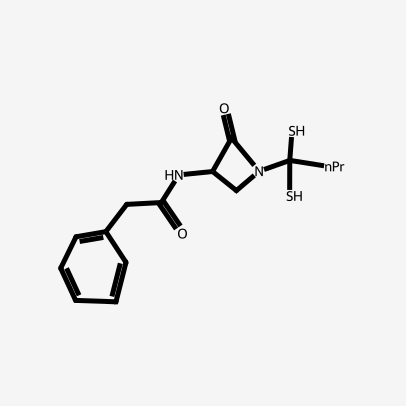 CCCC(S)(S)N1CC(NC(=O)Cc2ccccc2)C1=O